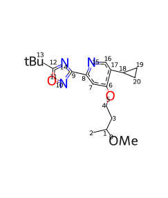 COC(C)CCOc1cc(-c2noc(C(C)(C)C)n2)ncc1C1CC1